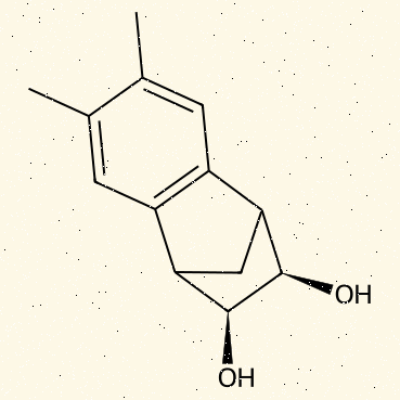 Cc1cc2c(cc1C)C1CC2[C@@H](O)[C@H]1O